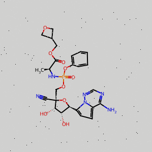 C[C@H](NP(=O)(OC[C@@]1(C#N)O[C@@H](c2ccc3c(N)ncnn23)[C@H](O)[C@@H]1O)Oc1ccccc1)C(=O)OCC1COC1